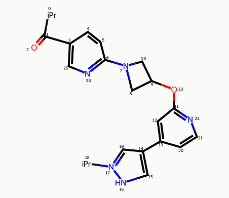 CC(C)C(=O)c1ccc(N2CC(Oc3cc(-c4c[nH][n+](C(C)C)c4)ccn3)C2)nc1